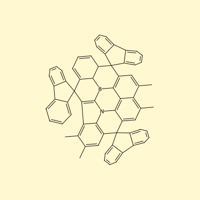 Cc1cc2c3c(c1C)c1c4n3-c3c(cc(C)c5c(C)cc6c(c35)B4C3C(=CC=CC3C63c4ccccc4-c4ccccc43)C13c1ccccc1-c1ccccc13)C21c2ccccc2-c2ccccc21